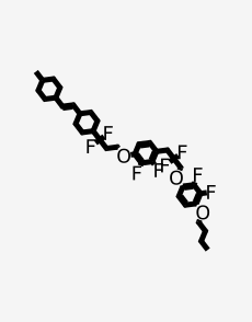 CCCCOc1ccc(OCC(F)(F)Cc2ccc(OCCC(F)(F)C3CCC(/C=C/C4CCC(C)CC4)CC3)c(F)c2F)c(F)c1F